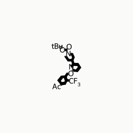 CC(=O)c1ccc(COc2cccc(C3CCN(C(=O)OC(C)(C)C)CC3)n2)c(C(F)(F)F)c1